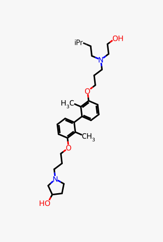 Cc1c(OCCCN(CCO)CCC(C)C)cccc1-c1cccc(OCCCN2CCC(O)C2)c1C